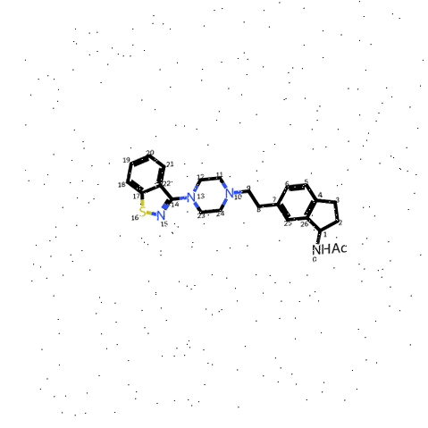 CC(=O)NC1CCc2ccc(CCN3CCN(c4nsc5ccccc45)CC3)cc21